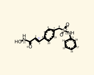 O=C(/C=C/c1ccc(CS(=O)(=O)Nc2ccccc2)cc1)NO